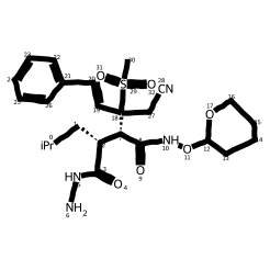 CC(C)C[C@@H](C(=O)NN)[C@@H](C(=O)NOC1CCCCO1)C(/C=C/c1ccccc1)(CC#N)S(C)(=O)=O